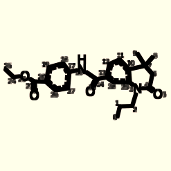 CCCN1C(=O)CC(C)(C)c2ccc(C(=O)Nc3ccc(C(=O)OCC)cc3)cc21